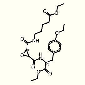 CCOC(=O)CCCCNC(=O)[C@H]1OC1C(=O)N[C@@H](Cc1ccc(OCC)cc1)C(=O)OCC